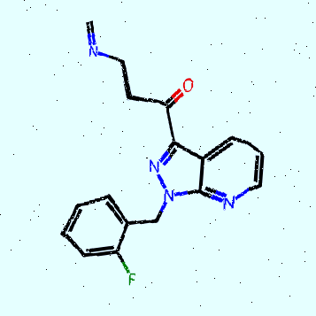 C=NCCC(=O)c1nn(Cc2ccccc2F)c2ncccc12